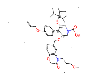 C=CCOc1ccc([C@@H]2[C@@H](OCc3ccc4c(c3)N(CCCOC)C(=O)CO4)CN(C(=O)O)C[C@H]2O[Si](C(C)C)(C(C)C)C(C)C)cc1